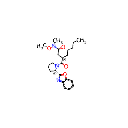 CCCCC[C@H](CC(=O)N(C)OC)C(=O)N1CCC[C@H]1c1nc2ccccc2o1